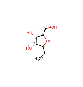 CC[C]1O[C@H](CO)[C@@H](O)[C@H]1O